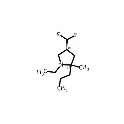 CCC[C@@]1(C)C[C@H](C(F)F)CN1CC